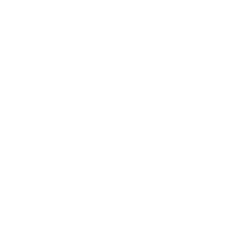 CC(C)(CCCOP(=O)(c1ccccc1)c1ccccc1)COP(=O)(c1ccccc1)c1ccccc1